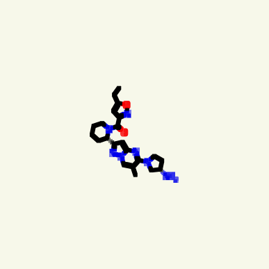 CCc1cc(C(=O)N2CCCC[C@H]2c2cc3nc(N4CC[C@H](N)C4)c(C)cn3n2)no1